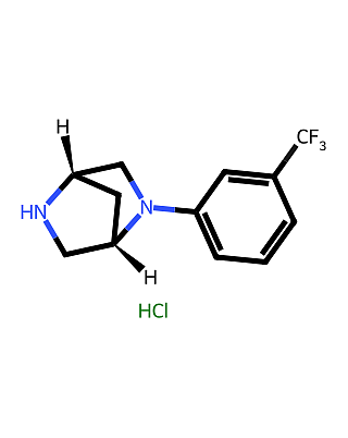 Cl.FC(F)(F)c1cccc(N2C[C@@H]3C[C@H]2CN3)c1